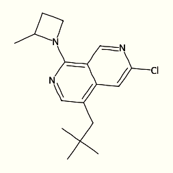 CC1CCN1c1ncc(CC(C)(C)C)c2cc(Cl)ncc12